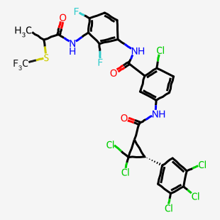 CC(SC(F)(F)F)C(=O)Nc1c(F)ccc(NC(=O)c2cc(NC(=O)C3[C@H](c4cc(Cl)c(Cl)c(Cl)c4)C3(Cl)Cl)ccc2Cl)c1F